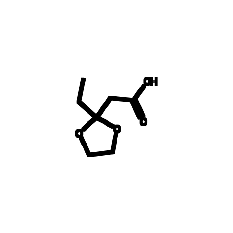 CCC1(CC(=O)O)OCCO1